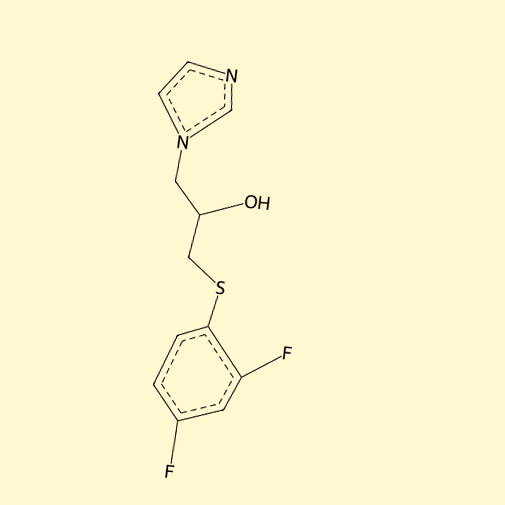 OC(CSc1ccc(F)cc1F)Cn1ccnc1